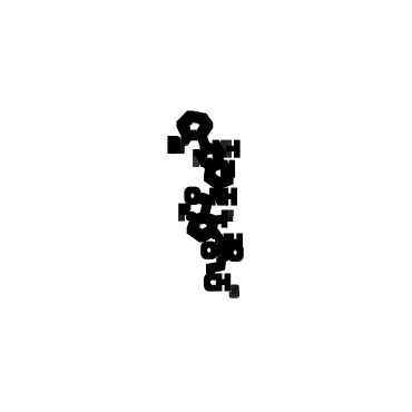 CCCS(=O)(=O)Nc1ccc(F)c(C(=O)Nc2cnc3[nH]c(-c4ccccc4Br)nc3c2)c1F